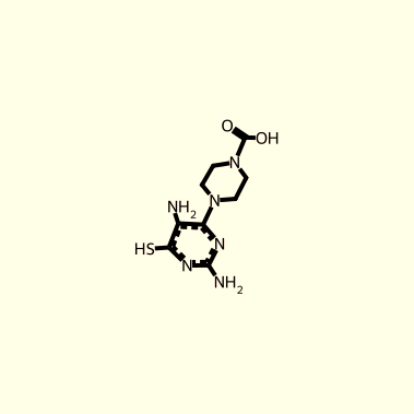 Nc1nc(S)c(N)c(N2CCN(C(=O)O)CC2)n1